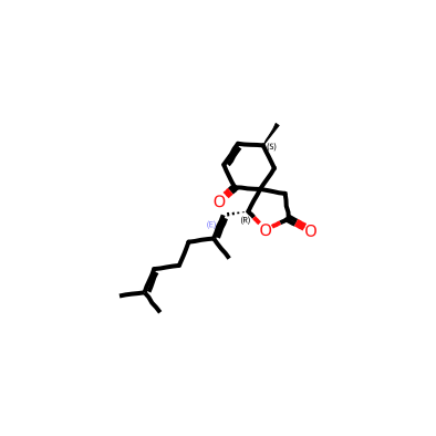 CC(C)=CCC/C(C)=C/[C@H]1OC(=O)CC12C[C@H](C)C=CC2=O